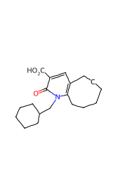 O=C(O)c1cc2c(n(CC3CCCCC3)c1=O)CCCCCC2